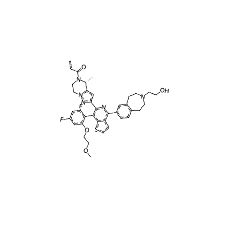 C=CC(=O)N1CCn2nc(-c3nc(-c4ccc5c(c4)CCN(CCO)CC5)c4ccsc4c3-c3c(F)cc(F)cc3OCCOC)cc2[C@H]1C